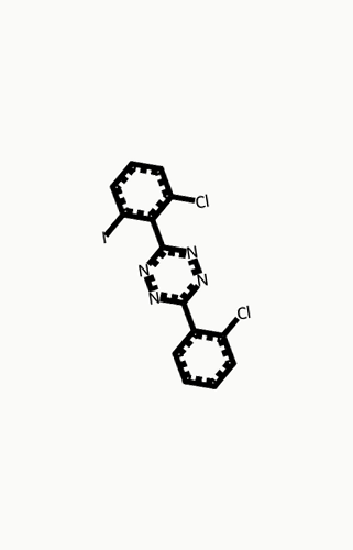 Clc1ccccc1-c1nnc(-c2c(Cl)cccc2I)nn1